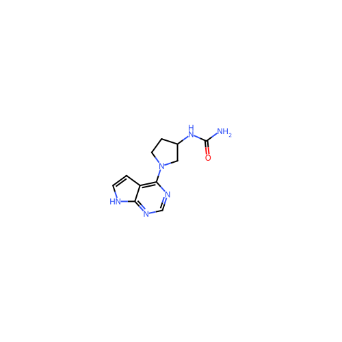 NC(=O)NC1CCN(c2ncnc3[nH]ccc23)C1